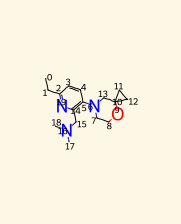 CCc1ccc(N2CCOC3(CC3)C2)c(CN(C)C)n1